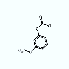 O=C(Cl)Oc1cccc(OC(Cl)(Cl)Cl)c1